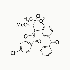 CO[C@H]1[C@H](n2oc3cc(Cl)ccc3c2=O)c2cc(C(=O)c3ccccc3)ccc2OC1(C)C